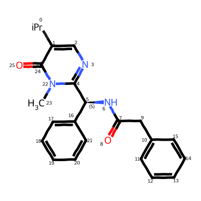 CC(C)c1cnc([C@@H](NC(=O)Cc2ccccc2)c2ccccc2)n(C)c1=O